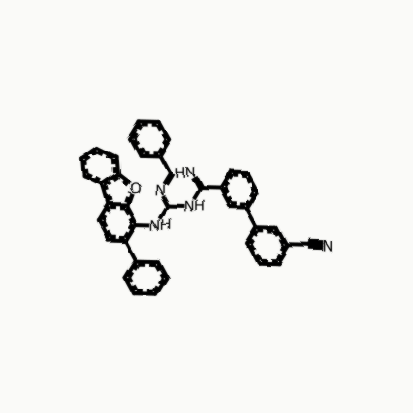 N#Cc1cccc(-c2cccc(C(=N)NC(/N=C/c3ccccc3)Nc3c(-c4ccccc4)ccc4c3oc3ccccc34)c2)c1